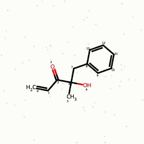 C=CC(=O)C(C)(O)Cc1c[c]ccc1